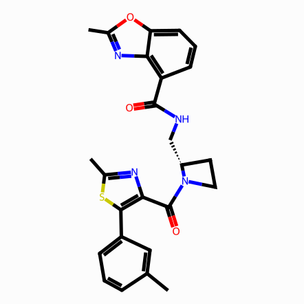 Cc1cccc(-c2sc(C)nc2C(=O)N2CC[C@H]2CNC(=O)c2cccc3oc(C)nc23)c1